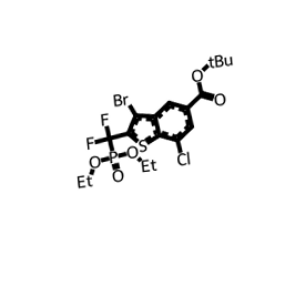 CCOP(=O)(OCC)C(F)(F)c1sc2c(Cl)cc(C(=O)OC(C)(C)C)cc2c1Br